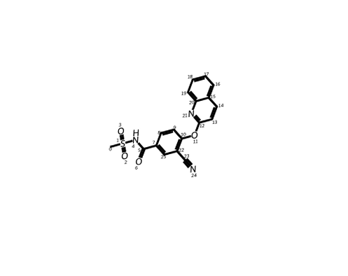 CS(=O)(=O)NC(=O)c1ccc(Oc2ccc3ccccc3n2)c(C#N)c1